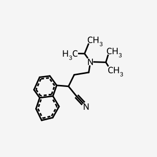 CC(C)N(CCC(C#N)c1cccc2ccccc12)C(C)C